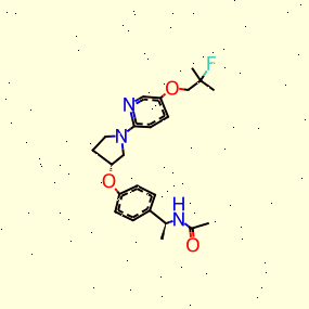 CC(=O)N[C@@H](C)c1ccc(O[C@@H]2CCN(c3ccc(OCC(C)(C)F)cn3)C2)cc1